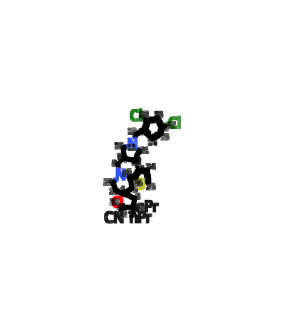 CCCC1(CCC)CC2(CCN(C[C@H]3CN(Cc4ccc(Cl)cc4Cl)C[C@@H]3c3ccsc3)CC2)OC1C#N